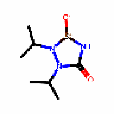 CC(C)N1C(=O)N[S+]([O-])N1C(C)C